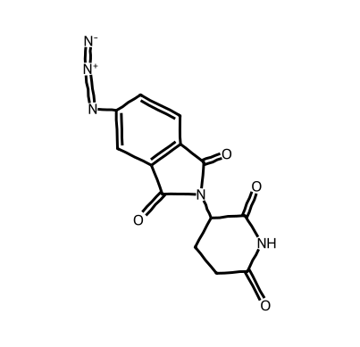 [N-]=[N+]=Nc1ccc2c(c1)C(=O)N(C1CCC(=O)NC1=O)C2=O